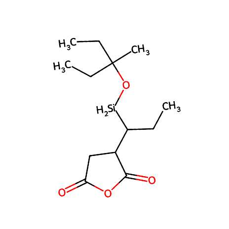 CCC([SiH2]OC(C)(CC)CC)C1CC(=O)OC1=O